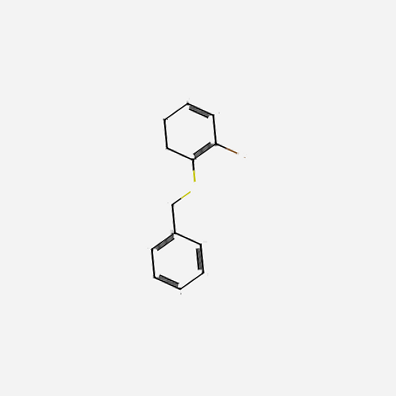 BrC1=C(SCc2ccccc2)C[CH]C=C1